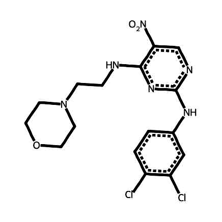 O=[N+]([O-])c1cnc(Nc2ccc(Cl)c(Cl)c2)nc1NCCN1CCOCC1